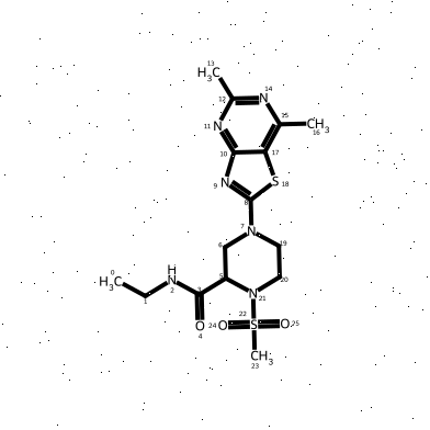 CCNC(=O)C1CN(c2nc3nc(C)nc(C)c3s2)CCN1S(C)(=O)=O